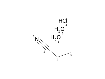 CCC#N.Cl.O.O